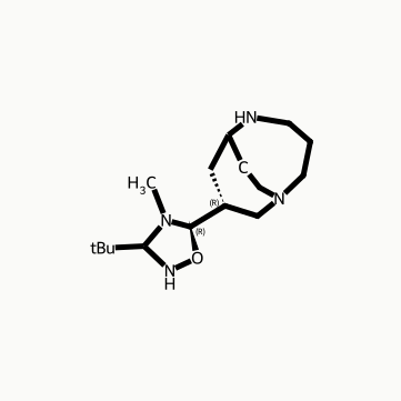 CN1C(C(C)(C)C)NO[C@@H]1[C@@H]1CC2CCN(CCCN2)C1